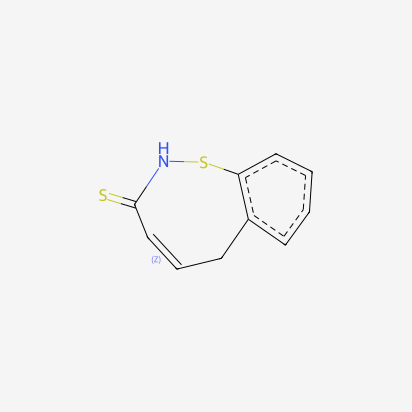 S=C1/C=C\Cc2ccccc2SN1